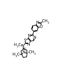 Cc1nc2ccc(-c3ncc4nc(N(C)C5CC6(C)CC[C@](C)(C5)N6)sc4n3)cc2o1